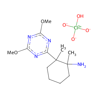 COc1nc(OC)nc(C2(C)CCCCC2(C)N)n1.[O-][Cl+3]([O-])([O-])O